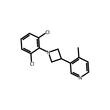 Cc1ccncc1C1CN(c2c(Cl)cccc2Cl)C1